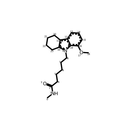 CNC(=O)CCCCCn1c2c(c3cccc(OC)c31)CCCC2